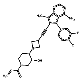 C=CC(=O)N1CC[C@@H](N2CC(C#Cc3c(-c4ccc(Cl)c(F)c4)c4c(N)ncnc4n3C)C2)[C@@H](O)C1